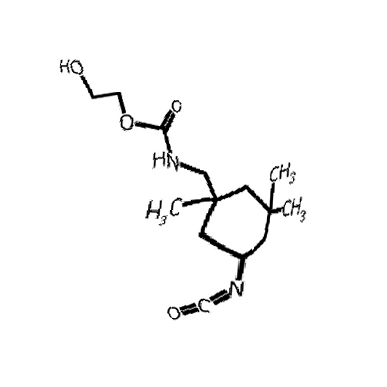 CC1(C)CC(N=C=O)CC(C)(CNC(=O)OCCO)C1